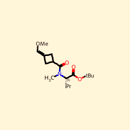 COC=C1CC(C(=O)N(C)[C@H](C(=O)OC(C)(C)C)C(C)C)C1